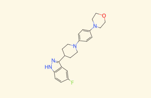 Fc1ccc2[nH]nc(C3CCN(c4ccc(N5CCOCC5)cc4)CC3)c2c1